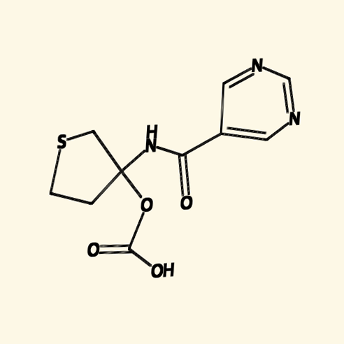 O=C(O)OC1(NC(=O)c2cncnc2)CCSC1